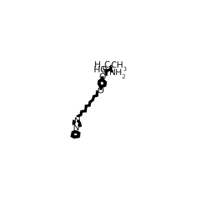 CC(C)C(N)[C@H](O)COc1ccc(OCCCCCCCCCCCN2CCN(c3ccccc3)CC2)cc1